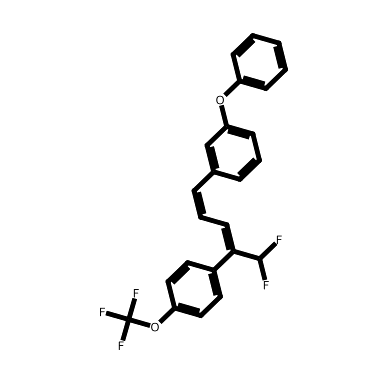 FC(F)/C(=C/C=C\c1cccc(Oc2ccccc2)c1)c1ccc(OC(F)(F)F)cc1